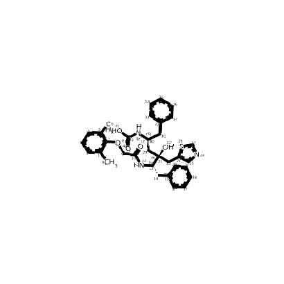 Cc1cccc(C)c1OCC(=O)N[C@@H](Cc1ccccc1)[C@@](O)(Cc1cncs1)C[C@H](Cc1ccccc1)NC(=O)O